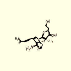 C[C@@]1(O)C(O)C(CCO)OC1n1cc(C#CC(N)=O)c2c(N)ncnc21